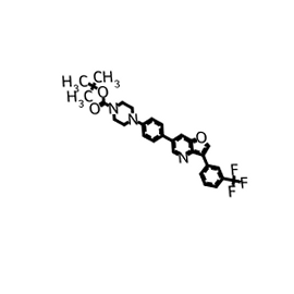 CC(C)(C)OC(=O)N1CCN(c2ccc(-c3cnc4c(-c5cccc(C(F)(F)F)c5)coc4c3)cc2)CC1